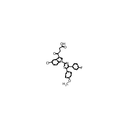 COc1ccc(-c2sc(-n3cc(C(=O)CCC(=O)O)c4cc(Cl)ccc43)nc2-c2ccc(F)cc2)cc1